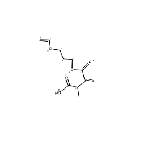 C=COCCCOC(=O)C(C)C(C)C(=O)O